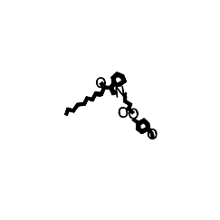 CCCCCCCC=CC(=O)c1cn(CCCC(=O)OCc2ccc(OC)cc2)c2ccccc12